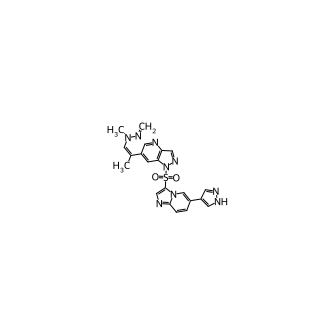 C=NN(C)/C=C(/C)c1cnc2cnn(S(=O)(=O)c3cnc4ccc(-c5cn[nH]c5)cn34)c2c1